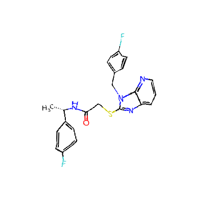 C[C@H](NC(=O)CSc1nc2cccnc2n1Cc1ccc(F)cc1)c1ccc(F)cc1